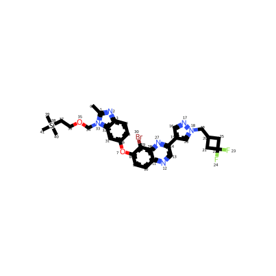 Cc1nc2ccc(Oc3ccc4ncc(-c5cnn(CC6CC(F)(F)C6)c5)nc4c3Br)cc2n1COCC[Si](C)(C)C